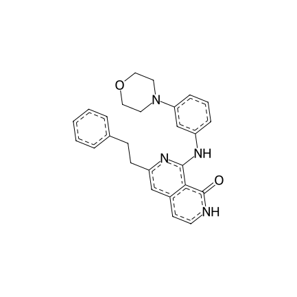 O=c1[nH]ccc2cc(CCc3ccccc3)nc(Nc3cccc(N4CCOCC4)c3)c12